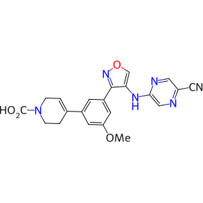 COc1cc(C2=CCN(C(=O)O)CC2)cc(-c2nocc2Nc2cnc(C#N)cn2)c1